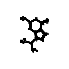 CC1=Cc2c(ncn2C(C)C)C(=O)C1